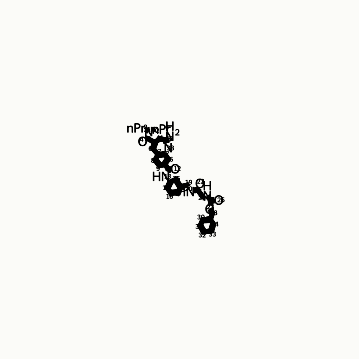 CCCN(CCC)C(=O)C1=Cc2ccc(C(=O)Nc3cccc(CNC(=O)CNC(=O)OCc4ccccc4)c3)cc2N=C(N)C1